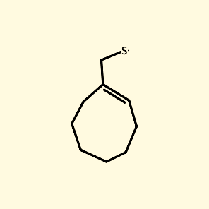 [S]C/C1=C/CCCCCC1